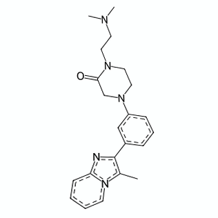 Cc1c(-c2cccc(N3CCN(CCN(C)C)C(=O)C3)c2)nc2ccccn12